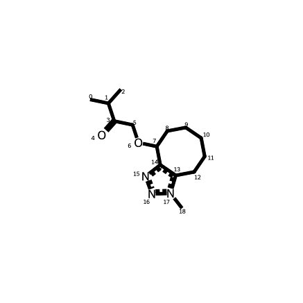 CC(C)C(=O)COC1CCCCCc2c1nnn2C